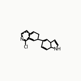 Clc1nccc2c1=CC(C1=CC3C=CNC3C=C1)CC=2